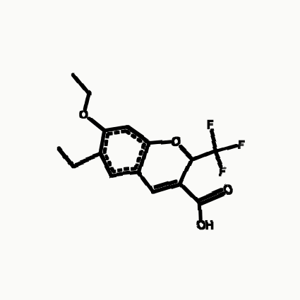 CCOc1cc2c(cc1CC)C=C(C(=O)O)C(C(F)(F)F)O2